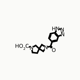 O=C(O)N1CCC2(C1)CN(C(=O)c1ccc3[nH]nnc3c1)C2